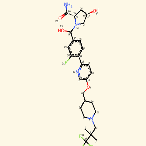 CC(C)(CN1CCC(COc2ccc(-c3ccc(C(O)N4C[C@H](O)C[C@H]4C(N)=O)cc3F)nc2)CC1)C(F)(F)F